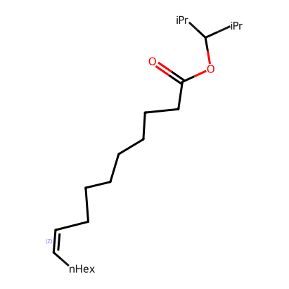 CCCCCC/C=C\CCCCCCCC(=O)OC(C(C)C)C(C)C